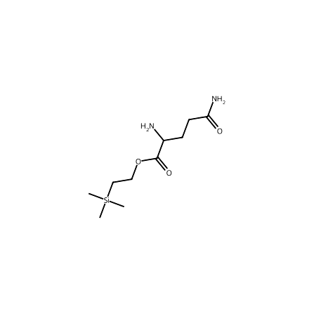 C[Si](C)(C)CCOC(=O)C(N)CCC(N)=O